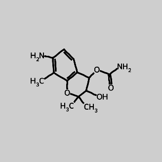 Cc1c(N)ccc2c1OC(C)(C)C(O)C2OC(N)=O